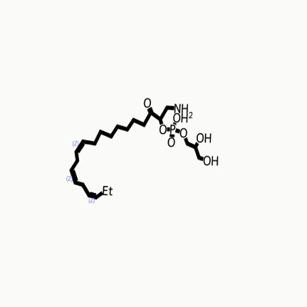 CC/C=C\C/C=C\C/C=C\CCCCCCCC(=O)C(CN)OP(=O)(O)OCC(O)CO